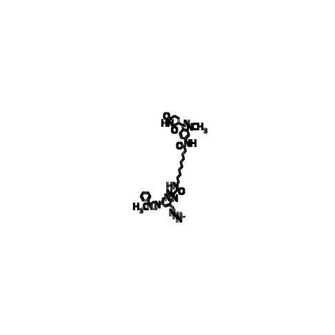 Cn1nc(C2CCC(=O)NC2=O)c2ccc(NC(=O)CCCCCCCCCNC(=O)c3nc4c(CN=[N+]=[N-])cc(N5CC[C@](C)(c6ccccc6)C5)cn4n3)cc21